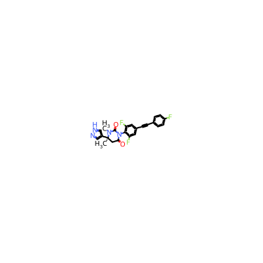 CN1C(=O)N(c2c(F)cc(C#Cc3ccc(F)cc3)cc2F)C(=O)C[C@@]1(C)c1cn[nH]c1